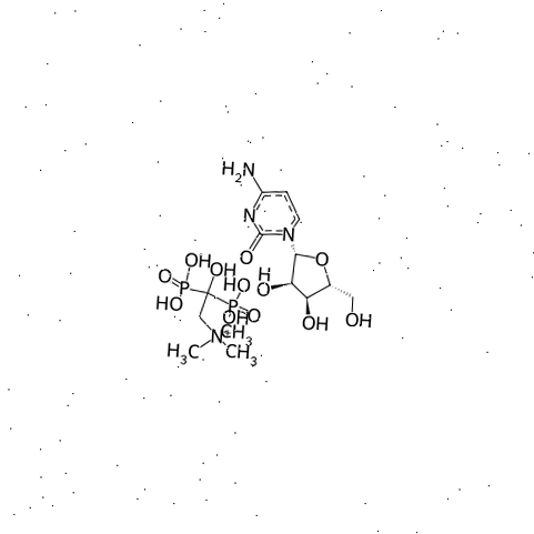 C[N+](C)(C)CC(O)(P(=O)(O)O)P(=O)(O)O.Nc1ccn([C@@H]2O[C@H](CO)[C@@H](O)[C@H]2O)c(=O)n1